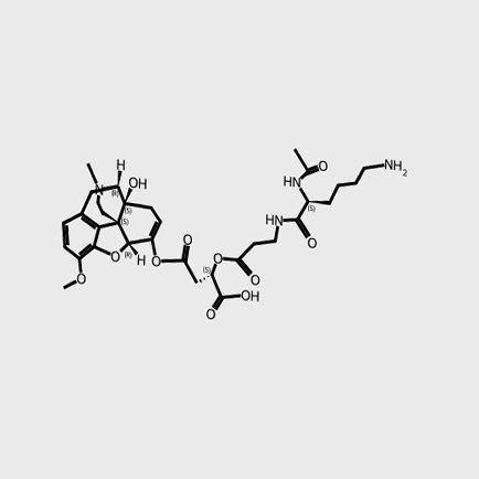 COc1ccc2c3c1O[C@H]1C(OC(=O)C[C@H](OC(=O)CCNC(=O)[C@H](CCCCN)NC(C)=O)C(=O)O)=CC[C@@]4(O)[C@@H](C2)N(C)CC[C@]314